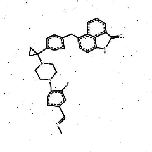 C/N=C/c1ccc(N2CCN(C3(c4ccc(Cc5ccc6c7c(cccc57)C(=O)N6)cc4)CC3)CC2)c(F)c1